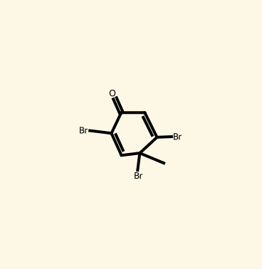 CC1(Br)C=C(Br)C(=O)C=C1Br